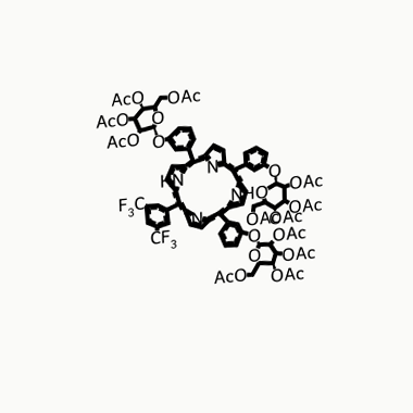 CC(=O)OCC1O[C@@H](Oc2cccc(-c3c4nc(c(-c5cccc(O[C@@H]6OC(COC(C)=O)[C@H](OC(C)=O)C(OC(C)=O)C6OC(C)=O)c5)c5ccc([nH]5)c(-c5cc(C(F)(F)F)cc(C(F)(F)F)c5)c5nc(c(-c6cccc(O[C@@H]7OC(COC(C)=O)[C@H](OC(C)=O)C(OC(C)=O)C7OC(C)=O)c6)c6ccc3[nH]6)C=C5)C=C4)c2)C(OC(C)=O)C(OC(C)=O)[C@H]1OC(C)=O